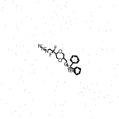 CC(C)(C)[Si](OCC1COC(C(F)(F)CN=[N+]=[N-])CO1)(c1ccccc1)c1ccccc1